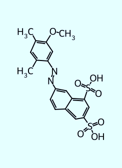 COc1cc(N=Nc2ccc3cc(S(=O)(=O)O)cc(S(=O)(=O)O)c3c2)c(C)cc1C